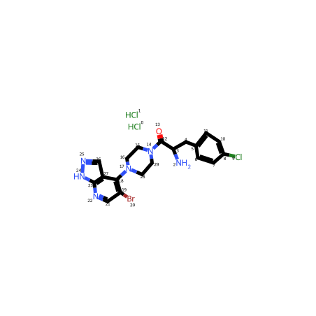 Cl.Cl.NC(Cc1ccc(Cl)cc1)C(=O)N1CCN(c2c(Br)cnc3[nH]ncc23)CC1